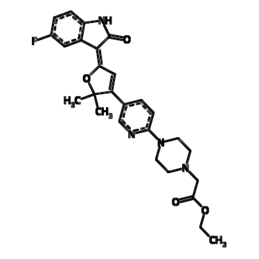 CCOC(=O)CN1CCN(c2ccc(C3=C/C(=C4\C(=O)Nc5ccc(F)cc54)OC3(C)C)cn2)CC1